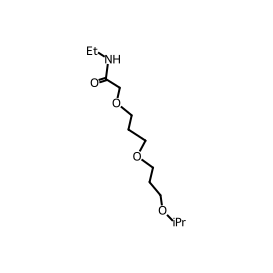 CCNC(=O)COCCCOCCCOC(C)C